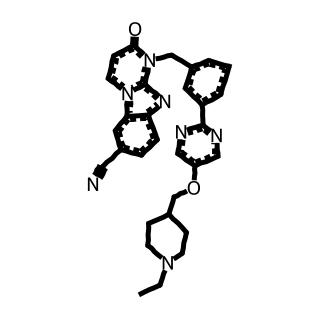 CCN1CCC(COc2cnc(-c3cccc(Cn4c(=O)ccn5c6cc(C#N)ccc6nc45)c3)nc2)CC1